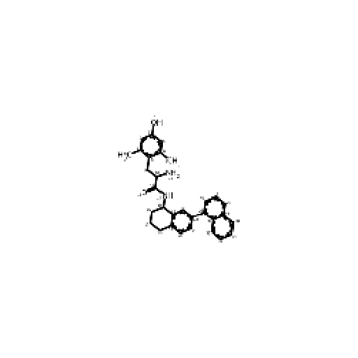 Cc1cc(O)cc(C)c1CC(N)C(=O)NC1CCCc2ccc(-c3cccc4ccccc34)cc21